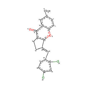 O=C(O)c1ccc2oc3c(c(=O)c2c1)CC/C3=C\c1ccc(Cl)cc1Cl